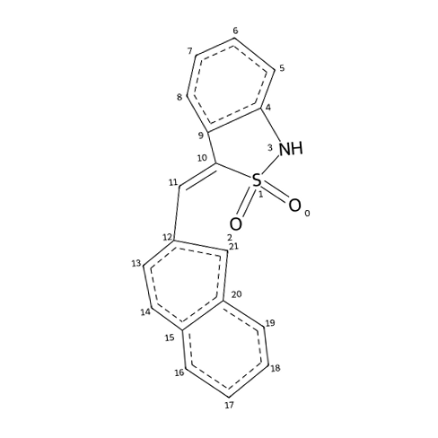 O=S1(=O)Nc2ccccc2C1=Cc1ccc2ccccc2c1